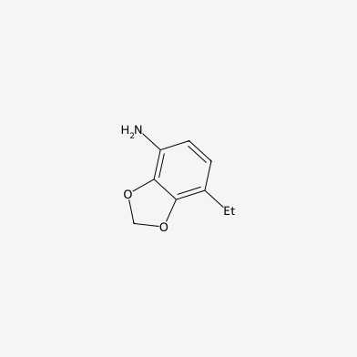 CCc1ccc(N)c2c1OCO2